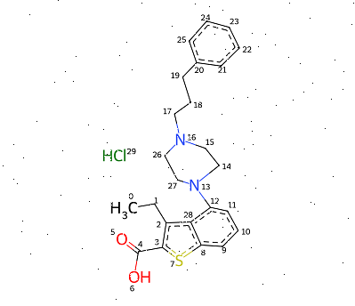 CCc1c(C(=O)O)sc2cccc(N3CCN(CCCc4ccccc4)CC3)c12.Cl